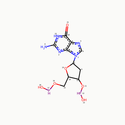 Nc1nc2c(ncn2C2CC(OPO)C(COPO)O2)c(=O)[nH]1